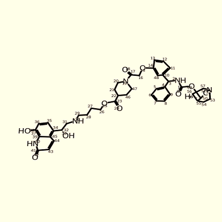 O=C(NC(c1ccccc1)c1cccc(OCC(=O)N2CCC(C(=O)OCCCCNC[C@H](O)c3ccc(O)c4[nH]c(=O)ccc34)CC2)c1)O[C@H]1CN2CCC1CC2